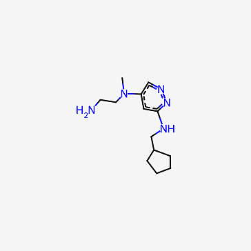 CN(CCN)c1cnnc(NCC2CCCC2)c1